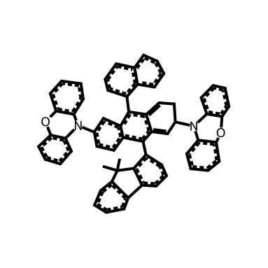 CC1(C)c2ccccc2-c2cccc(-c3c4c(c(-c5cccc6ccccc56)c5cc(N6c7ccccc7Oc7ccccc76)ccc35)=CCC(N3c5ccccc5Oc5ccccc53)C=4)c21